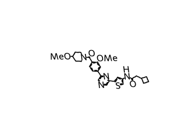 COc1cc(-c2cncc(-c3cc(NC(=O)CC4CCC4)cs3)n2)ccc1C(=O)N1CCC(OC)CC1